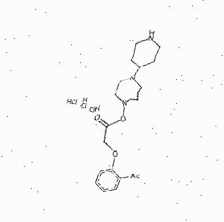 CC(=O)c1ccccc1OCC(=O)ON1CCN(C2CCNCC2)CC1.Cl.Cl.Cl